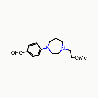 COCCN1CCCN(c2ccc(C=O)cc2)CC1